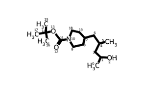 CC(O)CC(C)CC1CCN(C(=O)OC(C)(C)C)CC1